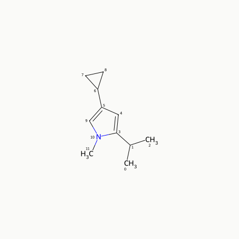 CC(C)c1cc(C2CC2)cn1C